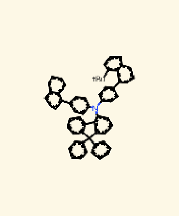 CC(C)(C)c1cccc2cccc(-c3ccc(N(c4ccc(-c5cccc6ccccc56)cc4)c4cccc5c4-c4ccccc4C5(c4ccccc4)c4ccccc4)cc3)c12